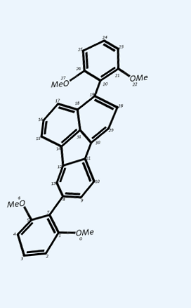 COc1cccc(OC)c1-c1ccc2c(c1)-c1cccc3c(-c4c(OC)cccc4OC)ccc-2c13